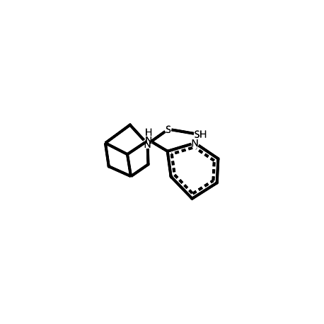 SSN1CC2CC(C1)C2Nc1ccccn1